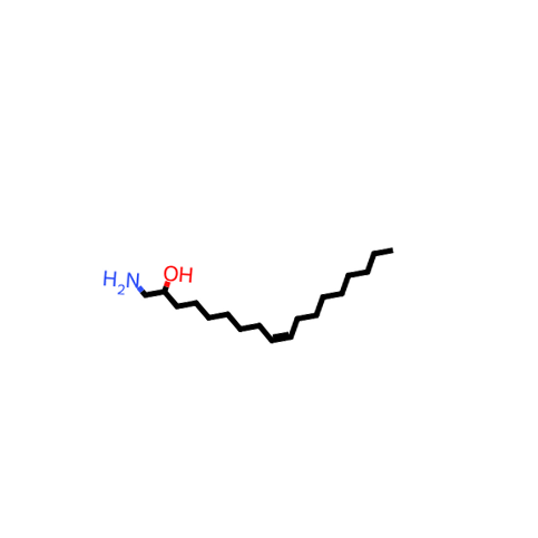 CCCCCCCC/C=C\CCCCCCC(O)CN